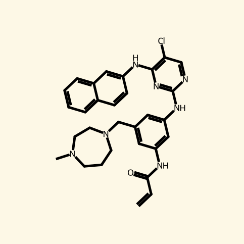 C=CC(=O)Nc1cc(CN2CCCN(C)CC2)cc(Nc2ncc(Cl)c(Nc3ccc4ccccc4c3)n2)c1